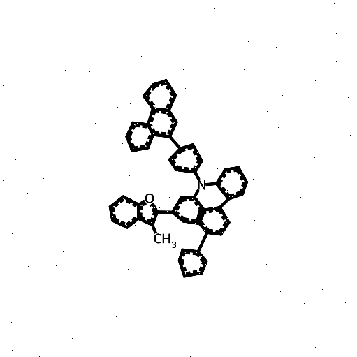 Cc1c(-c2cccc(N(c3ccc(-c4cc5ccccc5c5ccccc45)cc3)c3ccccc3-c3ccc(-c4ccccc4)cc3)c2)oc2ccccc12